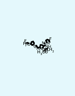 C=C(C[S+](C)[O-])Nc1c2c(nn1-c1ccc(F)cn1)CC(CCOc1cccc(OCC(F)(F)F)c1)NC2=O